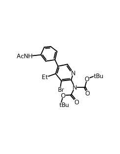 CCc1c(-c2cccc(N[13C](C)=O)c2)cnc(N(C(=O)OC(C)(C)C)C(=O)OC(C)(C)C)c1Br